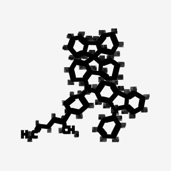 C=CC/C=C(\C)c1ccc(N(c2ccc3c4ccccc4n(-c4ccccc4)c3c2)c2cccc3c2-c2ccccc2C32c3ccccc3-c3ccccc32)cc1